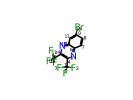 FC(F)(F)c1nc2ccc(Br)cc2nc1C(F)(F)F